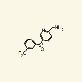 NCc1ccc([S+]([O-])c2cccc(C(F)(F)F)c2)cn1